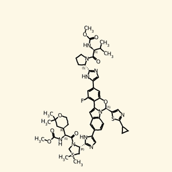 COC(=O)N[C@H](C(=O)N1CCC[C@H]1c1ncc(-c2cc(F)c3c(c2)O[C@@H](c2cnc(C4CC4)s2)n2c-3cc3cc(-c4cnc([C@@H]5CS(C)(C)CN5C(=O)[C@@H](NC(=O)OC)[C@@H]5CCOC(C)(C)C5)[nH]4)ccc32)[nH]1)C(C)C